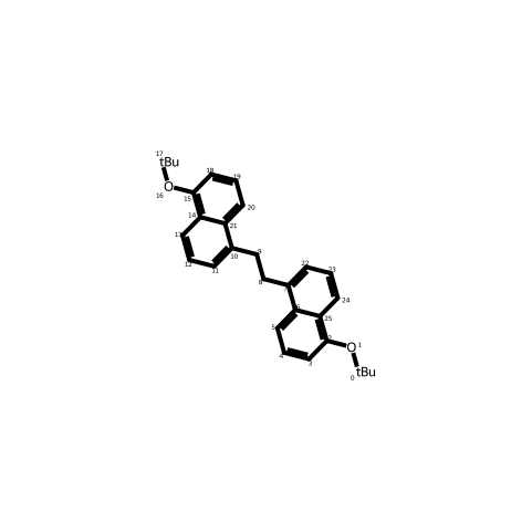 CC(C)(C)Oc1cccc2c(CCc3cccc4c(OC(C)(C)C)cccc34)cccc12